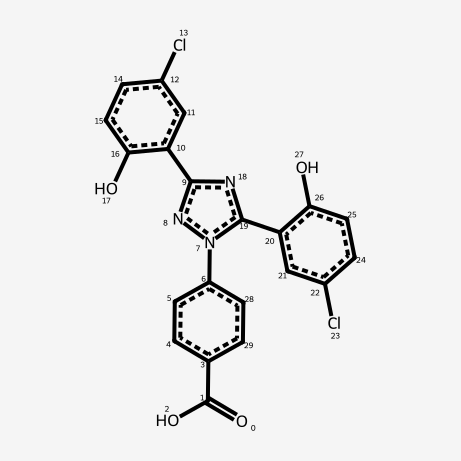 O=C(O)c1ccc(-n2nc(-c3cc(Cl)ccc3O)nc2-c2cc(Cl)ccc2O)cc1